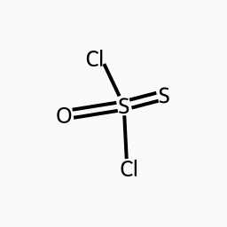 O=S(=S)(Cl)Cl